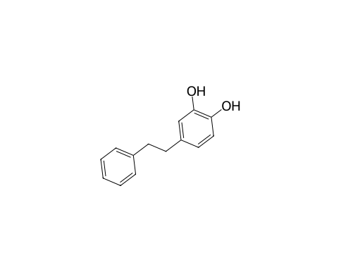 Oc1ccc(CCc2ccccc2)cc1O